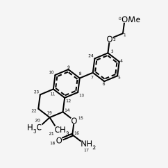 COCOc1cccc(-c2ccc3c(c2)C(OC(N)=O)C(C)(C)CC3)c1